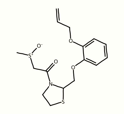 C=CCOc1ccccc1OCC1SCCN1C(=O)C[S+](C)[O-]